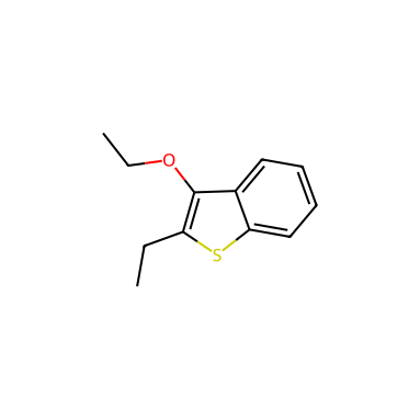 CCOc1c(CC)sc2ccccc12